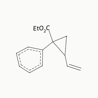 C=CC1CC1(C(=O)OCC)c1ccccc1